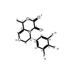 CC1OC(=O)C(=O)N2C1=COC[C@H]2c1cc(F)c(F)c(F)c1